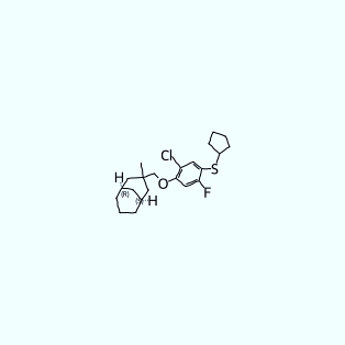 CC1(COc2cc(F)c(SC3CCCC3)cc2Cl)C[C@@H]2CCC[C@@H](C2)C1